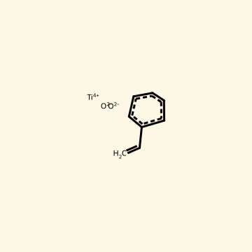 C=Cc1ccccc1.[O-2].[O-2].[Ti+4]